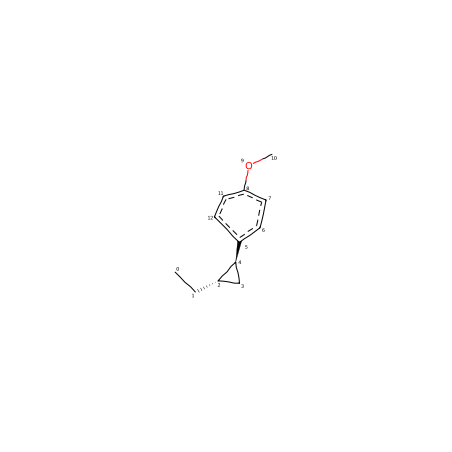 CC[C@H]1C[C@@H]1c1ccc(OC)cc1